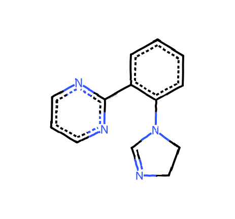 C1=NCCN1c1ccccc1-c1ncccn1